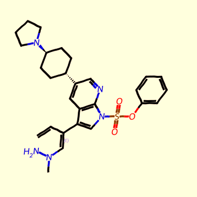 C=C/C(=C\N(C)N)c1cn(S(=O)(=O)Oc2ccccc2)c2ncc([C@H]3CC[C@H](N4CCCC4)CC3)cc12